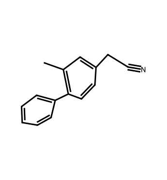 Cc1cc(CC#N)ccc1-c1ccccc1